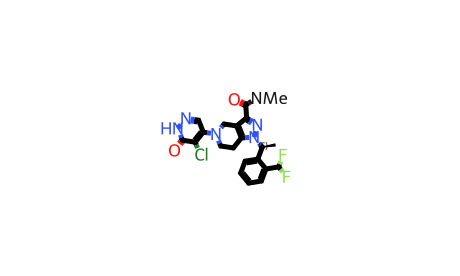 CNC(=O)c1nn([C@@H](C)c2ccccc2C(F)F)c2c1CN(c1cn[nH]c(=O)c1Cl)CC2